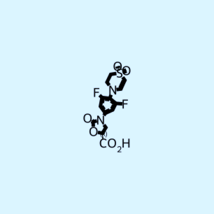 O=C(O)[C@H]1CN(c2cc(F)c(N3C=CS(=O)(=O)CC3)c(F)c2)C(=O)O1